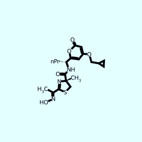 CCC[C@@H](NC(=O)[C@]1(C)CSC(/C(C)=N/O)=N1)c1cc(OCC2CC2)cc(=O)o1